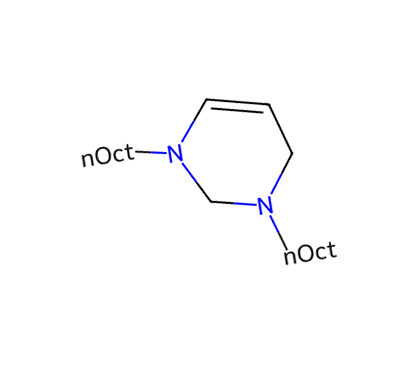 CCCCCCCCN1C=CCN(CCCCCCCC)C1